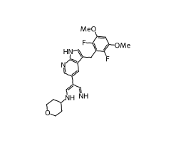 COc1cc(OC)c(F)c(Cc2c[nH]c3ncc(/C(C=N)=C/NC4CCOCC4)cc23)c1F